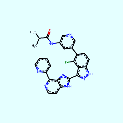 CC(C)C(=O)Nc1cncc(-c2ccc3[nH]nc(-c4nc5c(-c6ccccn6)nccc5[nH]4)c3c2F)c1